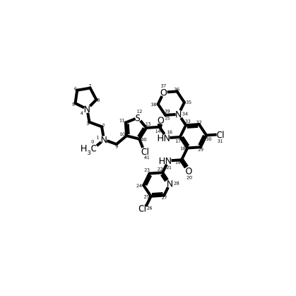 CN(CCN1CCCC1)Cc1csc(C(=O)Nc2c(C(=O)Nc3ccc(Cl)cn3)cc(Cl)cc2N2CCOCC2)c1Cl